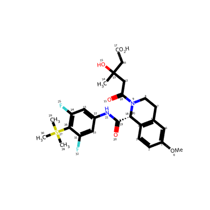 COc1ccc2c(c1)CCN(C(=O)CC(C)(O)CC(=O)O)[C@H]2C(=O)Nc1cc(F)c(S(C)(C)C)c(F)c1